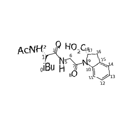 CC[C@H](C)[C@H](NC(C)=O)C(=O)NCC(=O)N1c2ccccc2C[C@H]1C(=O)O